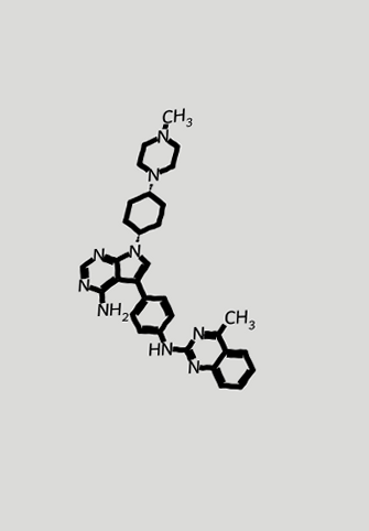 Cc1nc(Nc2ccc(-c3cn([C@H]4CC[C@@H](N5CCN(C)CC5)CC4)c4ncnc(N)c34)cc2)nc2ccccc12